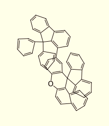 c1ccc(C2(c3ccccc3)c3ccccc3-c3cccc(-c4ccc5c(c4)C4(c6ccccc6-c6ccccc64)c4c(ccc6ccccc46)O5)c32)cc1